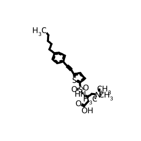 CCCCCc1ccc(C#Cc2ccc(S(=O)(=O)N[C@H](CC(=O)O)C[N+](C)(C)C)s2)cc1